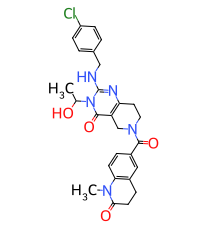 CC(O)n1c(NCc2ccc(Cl)cc2)nc2c(c1=O)CN(C(=O)c1ccc3c(c1)CCC(=O)N3C)CC2